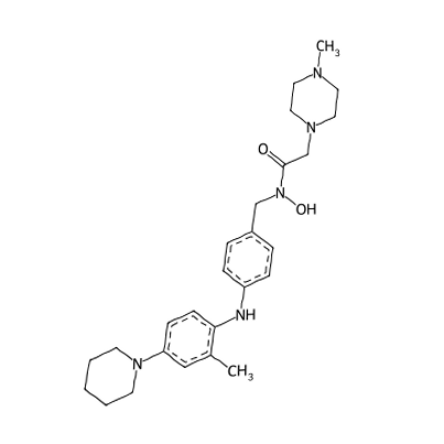 Cc1cc(N2CCCCC2)ccc1Nc1ccc(CN(O)C(=O)CN2CCN(C)CC2)cc1